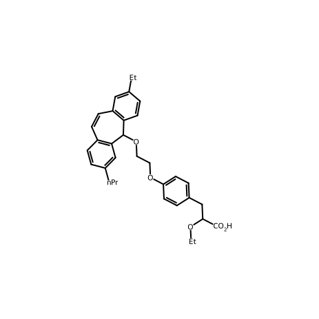 CCCc1ccc2c(c1)C(OCCOc1ccc(CC(OCC)C(=O)O)cc1)c1ccc(CC)cc1C=C2